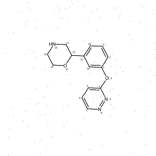 c1cc(Oc2cccnn2)cc(C2CNCCO2)c1